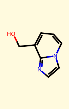 OCc1cccn2ccnc12